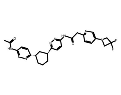 CC(=O)Nc1ccc([C@H]2CCC[C@H](c3ccc(NC(=O)Cc4ccc(N5CC(F)(F)C5)cn4)nn3)C2)nn1